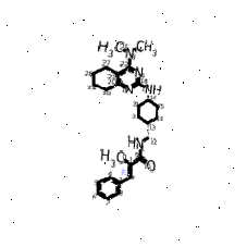 C/C(=C\c1ccccc1)C(=O)NC[C@H]1CC[C@@H](Nc2nc3c(c(N(C)C)n2)CCCC3)CC1